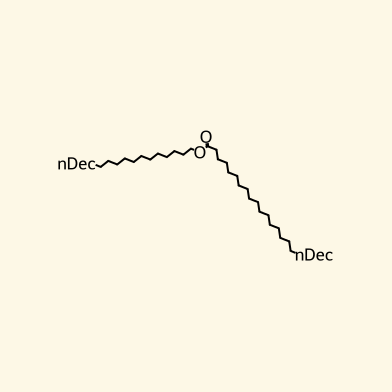 CCCCCCCCCCCCCCCCCCCCCCCCCCC(=O)OCCCCCCCCCCCCCCCCCCCCCC